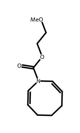 COCCOC(=O)N1/C=C\CCC/C=C\1